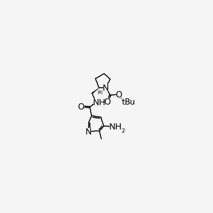 Cc1ncc(C(=O)NC[C@H]2CCCN2C(=O)OC(C)(C)C)cc1N